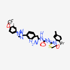 Cc1ccc(C(C)C)c(N2C(=O)CS/C2=N\C(=O)NC(N)Cc2ccc(-c3ncn(-c4ccc(OC(F)(F)F)cc4)n3)cc2)c1